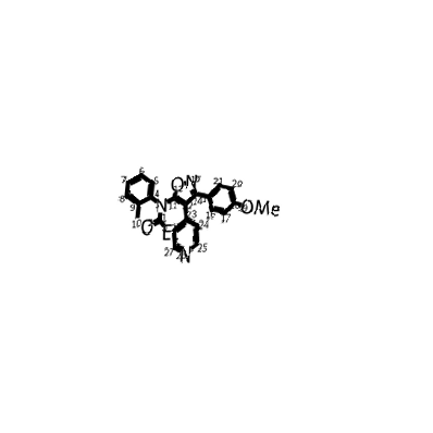 CCC(=O)N(c1ccccc1C)c1onc(-c2ccc(OC)cc2)c1-c1ccncc1